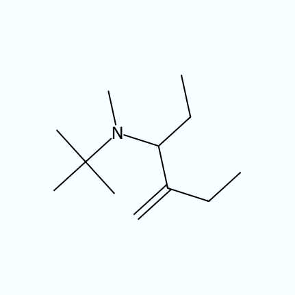 C=C(CC)C(CC)N(C)C(C)(C)C